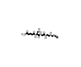 BC(=O)CCCC(=O)N[C@@H](CS)C(=O)NCC(=O)NCCNCN=[N+]=[N-]